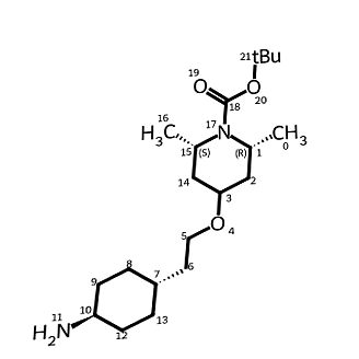 C[C@@H]1CC(OCC[C@H]2CC[C@H](N)CC2)C[C@H](C)N1C(=O)OC(C)(C)C